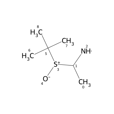 CC([NH])[S+]([O-])C(C)(C)C